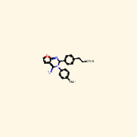 COc1ccc(N2C(N)=c3ccoc3=NC2c2ccc(CCC(=O)O)cc2)cc1